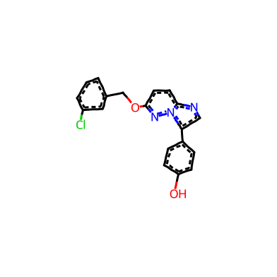 Oc1ccc(-c2cnc3ccc(OCc4cccc(Cl)c4)nn23)cc1